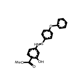 COC(=O)c1ccc(NSc2ccc(Oc3ccccc3)cc2)cc1O